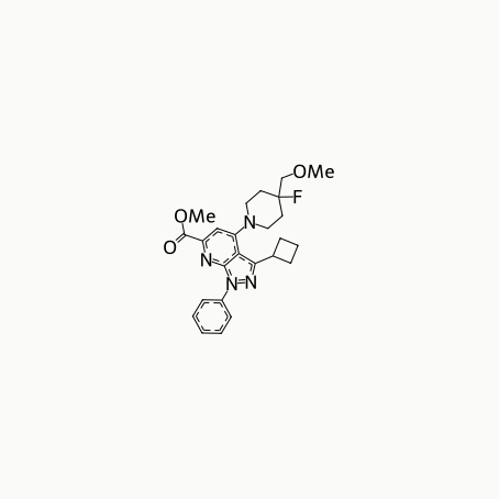 COCC1(F)CCN(c2cc(C(=O)OC)nc3c2c(C2CCC2)nn3-c2ccccc2)CC1